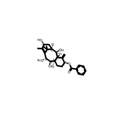 C=C1[C@@H](OC(=O)c2ccccc2)CC[C@@]2(C)[C@@H](OC(C)=O)[C@H](OC(C)=O)C3=C(C)[C@@H](O)C[C@@H]([C@@H](O)[C@H]12)C3(C)C